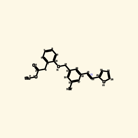 CC(C)(C)OC(=O)Cc1ccccc1OCc1cc(Br)cc(/C=C/c2ccco2)c1